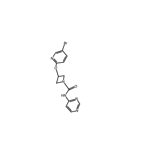 O=C(Nc1ccncn1)N1CC(Oc2ccc(Br)cn2)C1